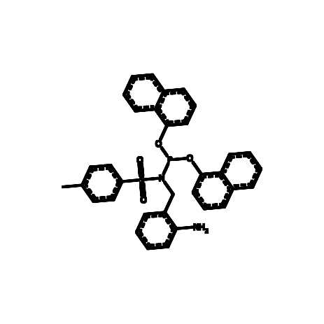 Cc1ccc(S(=O)(=O)N(Cc2ccccc2N)P(Oc2cccc3ccccc23)Oc2cccc3ccccc23)cc1